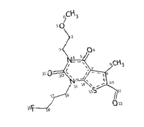 COCCn1c(=O)c2c(C)c(C=O)sc2n(CCCF)c1=O